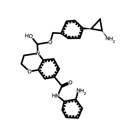 Nc1ccccc1NC(=O)c1ccc2c(c1)OCCN2C(O)OCc1ccc([C@H]2C[C@@H]2N)cc1